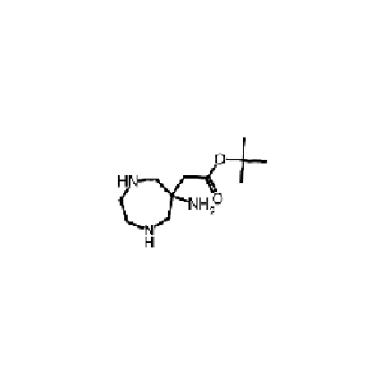 CC(C)(C)OC(=O)CC1(N)CNCCNC1